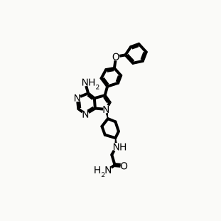 NC(=O)CN[C@H]1CC[C@@H](n2cc(-c3ccc(Oc4ccccc4)cc3)c3c(N)ncnc32)CC1